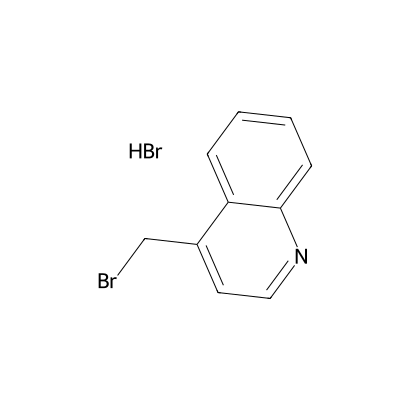 Br.BrCc1ccnc2ccccc12